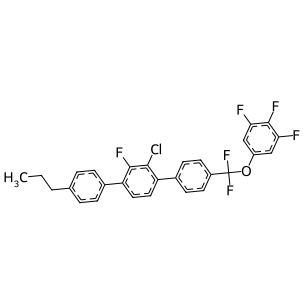 CCCc1ccc(-c2ccc(-c3ccc(C(F)(F)Oc4cc(F)c(F)c(F)c4)cc3)c(Cl)c2F)cc1